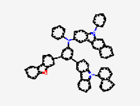 c1ccc(N(c2cc(-c3ccc4c(c3)oc3ccccc34)cc(-c3ccc4c(c3)c3ccccc3n4-c3cccc4ccccc34)c2)c2ccc3c(c2)c2cc4ccccc4cc2n3-c2ccccc2)cc1